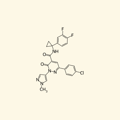 Cn1cc(-n2nc(-c3ccc(Cl)cc3)cc(C(=O)NC3(c4ccc(F)c(F)c4)CC3)c2=O)cn1